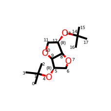 CC(C)(C)O[C@@H]1COC2C1OC[C@H]2OC(C)(C)C